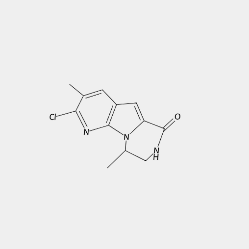 Cc1cc2cc3n(c2nc1Cl)C(C)CNC3=O